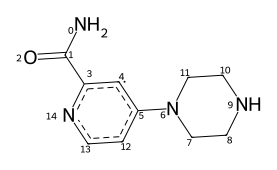 NC(=O)c1[c]c(N2CCNCC2)ccn1